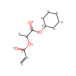 C=CC(=O)OC(C)C(=O)OC1CCCCC1